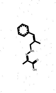 CC(=Cc1ccccc1)CNN=C(C)C(=O)O